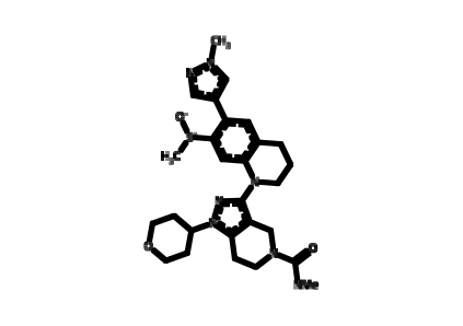 CNC(=O)N1CCc2c(c(N3CCCc4cc(-c5cnn(C)c5)c([S+](C)[O-])cc43)nn2C2CCOCC2)C1